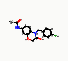 CC(=O)Nc1ccc2c(c1)OCC(=O)N2Cc1ccc(F)cc1